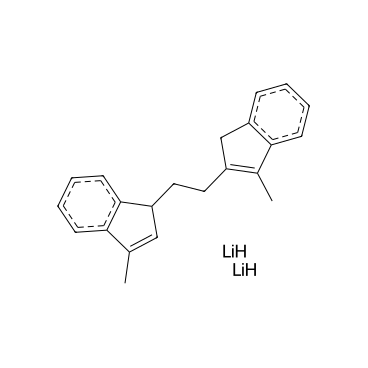 CC1=CC(CCC2=C(C)c3ccccc3C2)c2ccccc21.[LiH].[LiH]